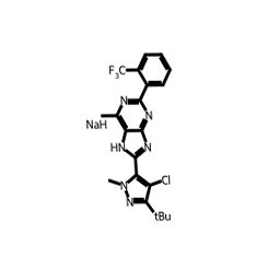 Cc1nc(-c2ccccc2C(F)(F)F)nc2nc(-c3c(Cl)c(C(C)(C)C)nn3C)[nH]c12.[NaH]